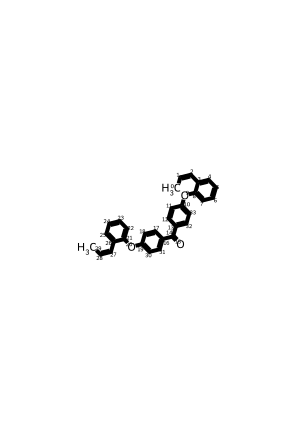 C/C=C\c1ccccc1Oc1ccc(C(=O)c2ccc(Oc3ccccc3/C=C\C)cc2)cc1